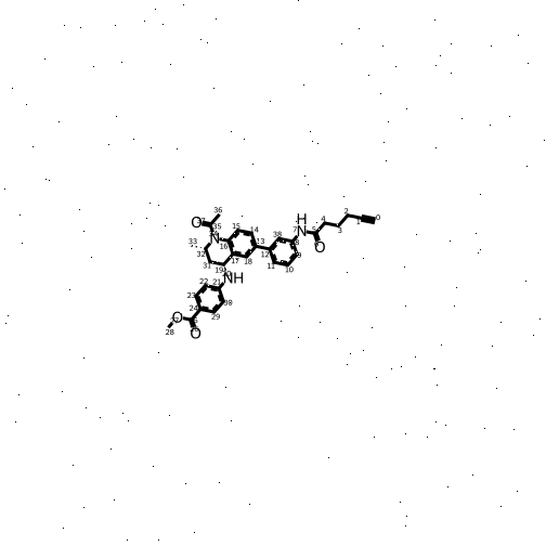 C#CCCCC(=O)Nc1cccc(-c2ccc3c(c2)[C@H](Nc2ccc(C(=O)OC)cc2)C[C@H](C)N3C(C)=O)c1